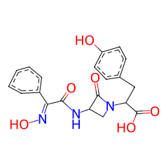 O=C(NC1CN(C(Cc2ccc(O)cc2)C(=O)O)C1=O)C(=NO)c1ccccc1